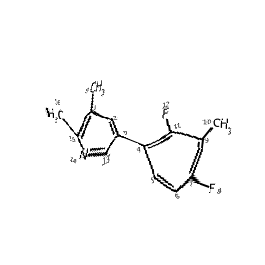 Cc1cc(-c2ccc(F)c(C)c2F)cnc1C